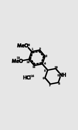 COc1ccc(C2CCCNC2)cc1OC.Cl